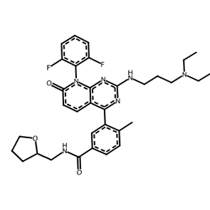 CCN(CC)CCCNc1nc(-c2cc(C(=O)NCC3CCCO3)ccc2C)c2ccc(=O)n(-c3c(F)cccc3F)c2n1